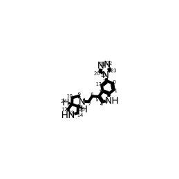 c1cc2[nH]cc(CCN3CC[C@H]4CNC[C@H]43)c2cc1-n1cnnc1